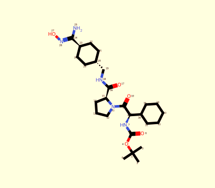 CC(C)(C)OC(=O)N[C@@H](C(=O)N1CCC[C@H]1C(=O)NC[C@H]1CC[C@H](C(N)=NO)CC1)C1CCCCC1